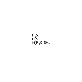 P.S.S.S.S